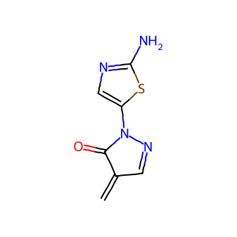 C=C1C=NN(c2cnc(N)s2)C1=O